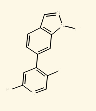 CC(C)n1ncc2ccc(-c3cc(Br)ncc3Cl)cc21